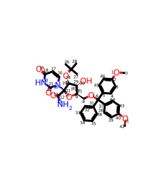 COc1ccc(C(OC[C@H]2O[C@@](C(N)=O)(n3ccc(=O)[nH]c3=O)[C@H](OC(C)(C)C)[C@@H]2O)(c2ccccc2)c2ccc(OC)cc2)cc1